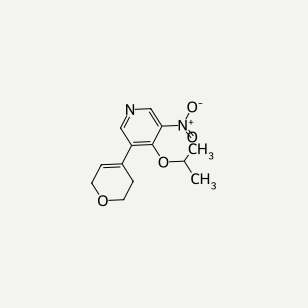 CC(C)Oc1c(C2=CCOCC2)cncc1[N+](=O)[O-]